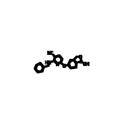 N#Cc1ccc(Oc2ccc3c(c2)COB3O)nc1NCc1ccccc1